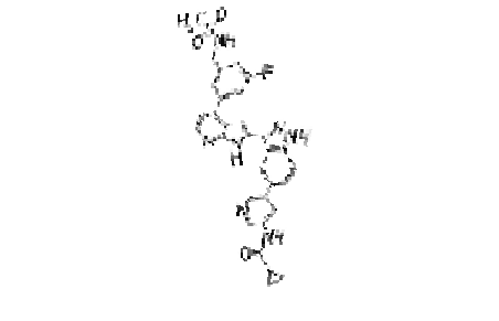 CS(=O)(=O)NCc1cc(F)cc(-c2ccnc3[nH]c(-c4n[nH]c5ccc(-c6cncc(NC(=O)C7CC7)c6)cc45)cc23)c1